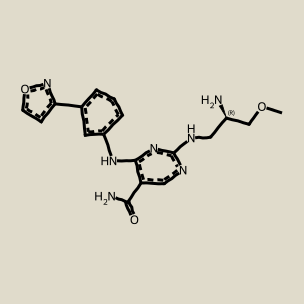 COC[C@H](N)CNc1ncc(C(N)=O)c(Nc2cccc(-c3ccon3)c2)n1